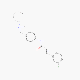 C[N+](C)(Cc1ccc(NC(=O)/C=C/c2cc(F)cc(F)c2)cc1)C1CCSCC1